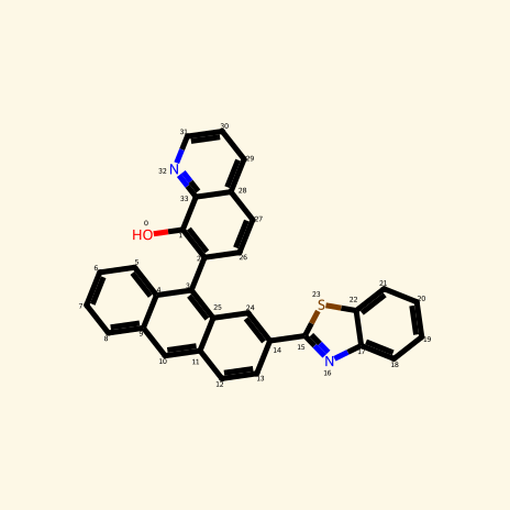 Oc1c(-c2c3ccccc3cc3ccc(-c4nc5ccccc5s4)cc23)ccc2cccnc12